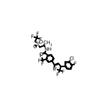 CC(CS(=O)(=O)CC(F)(F)F)NC(=O)c1ccc(/C(F)=C/C(c2ccc(F)c(Cl)c2)C(F)(F)F)cc1C(F)(F)F